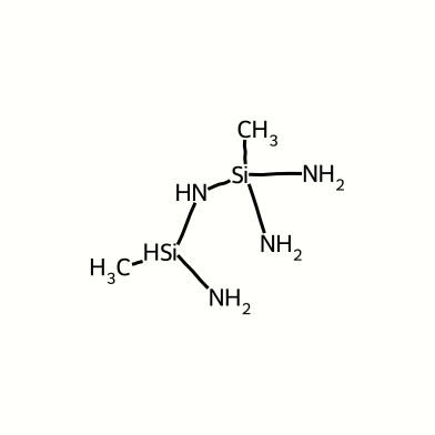 C[SiH](N)N[Si](C)(N)N